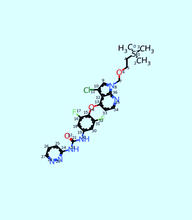 C[Si](C)(C)CCOCn1cc(Cl)c2c(Oc3c(F)cc(NC(=O)Nc4cccnn4)cc3F)ccnc21